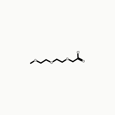 COCCOCCOCC(=O)Cl